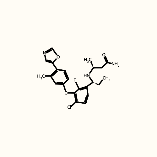 CC[C@@H](N[C@@H](C)CC(N)=O)c1ccc(Cl)c(Oc2ccc(-c3cnco3)c(C)c2)c1F